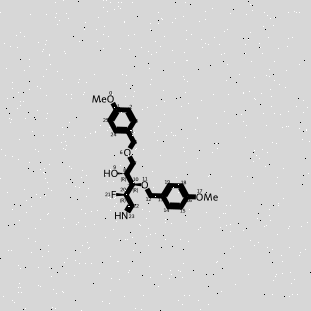 COc1ccc(COC[C@@H](O)[C@@H](OCc2ccc(OC)cc2)[C@H](F)C=N)cc1